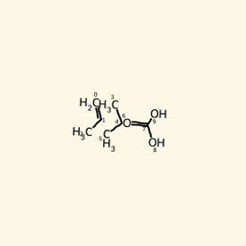 C=CC.CCC.O=C(O)O